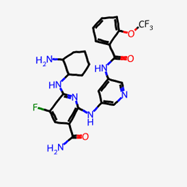 NC(=O)c1cc(F)c(NC2CCCCC2N)nc1Nc1cncc(NC(=O)c2ccccc2OC(F)(F)F)c1